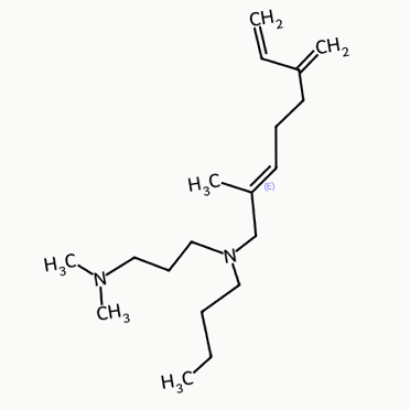 C=CC(=C)CC/C=C(\C)CN(CCCC)CCCN(C)C